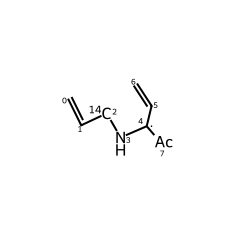 C=C[14CH2]N[C](C=C)[14C](C)=O